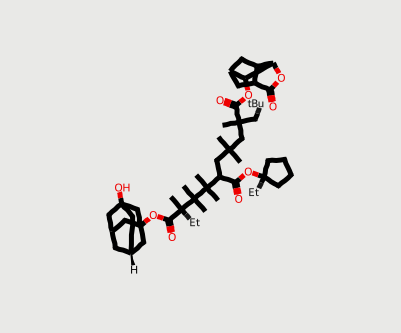 CCC1(OC(=O)C(CC(C)(C)CC(C)(CC(C)(C)C)C(=O)OC2C3CC4C(=O)OC2C4C3)C(C)(C)C(C)(C)C(C)(CC)C(=O)OC23CC4C[C@H](CC(O)(C4)C2)C3)CCCC1